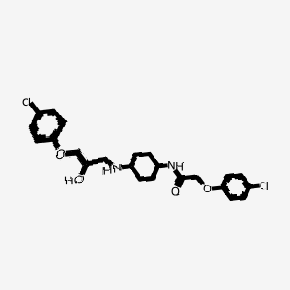 O=C(COc1ccc(Cl)cc1)NC1CCC(NCC(O)COc2ccc(Cl)cc2)CC1